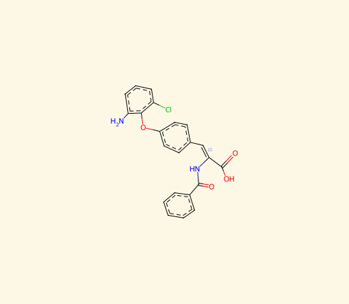 Nc1cccc(Cl)c1Oc1ccc(/C=C(\NC(=O)c2ccccc2)C(=O)O)cc1